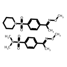 CON=C(C)c1ccc(S(=O)(=O)N(C)C)cc1.CON=C(C)c1ccc(S(=O)(=O)N2CCCCC2)cc1